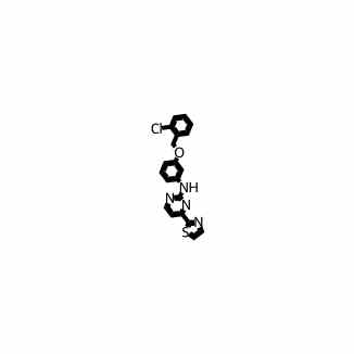 Clc1ccccc1COc1cccc(Nc2nccc(-c3nccs3)n2)c1